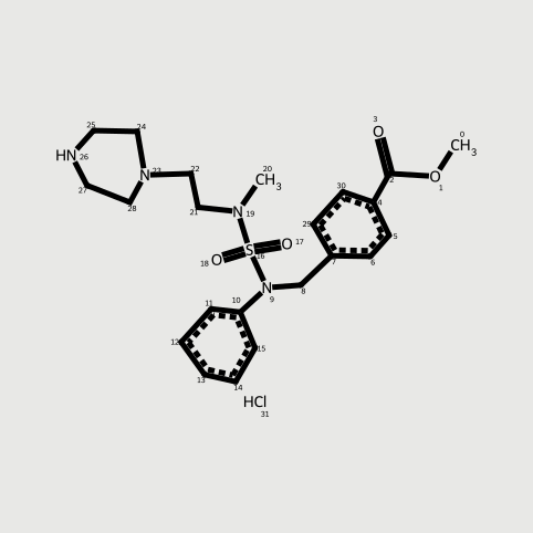 COC(=O)c1ccc(CN(c2ccccc2)S(=O)(=O)N(C)CCN2CCNCC2)cc1.Cl